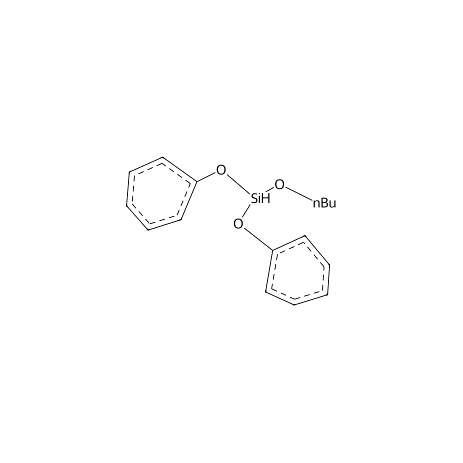 CCCCO[SiH](Oc1ccccc1)Oc1ccccc1